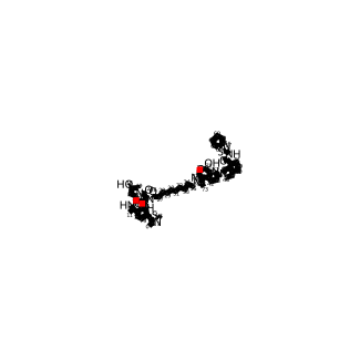 Cc1ncsc1-c1ccc(C(C)NC(=O)[C@@H]2C[C@@H](O)CN2C(=O)C(NC(=O)CCCCCCCCCn2nc(C)c(-c3ccc(N4CCc5cccc(C(=O)Nc6nc7ccccc7s6)c5C4)nc3C(=O)O)c2C)C(C)(C)C)cc1